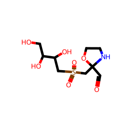 O=CC1(CS(=O)(=O)CC(O)C(O)CO)NCCO1